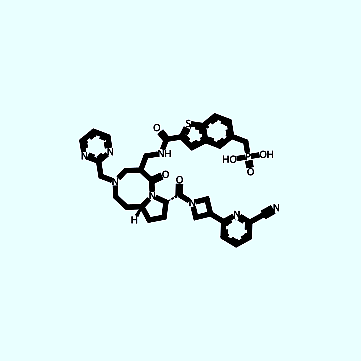 N#Cc1cccc(C2CN(C(=O)[C@@H]3CC[C@@H]4CCN(Cc5ncccn5)CC(CNC(=O)c5cc6cc(CP(=O)(O)O)ccc6s5)C(=O)N43)C2)n1